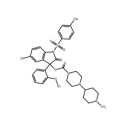 CCOc1ccccc1C1(OC(=O)N2CCN(C3CCN(C)CC3)CC2)C(=O)N(S(=O)(=O)c2ccc(C#N)cc2)c2ccc(Cl)cc21